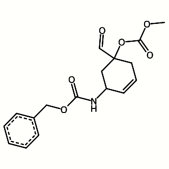 COC(=O)OC1(C=O)CC=CC(NC(=O)OCc2ccccc2)C1